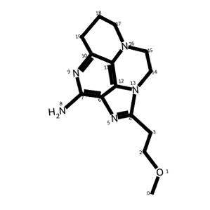 COCCc1nc2c(N)nc3c4c2n1CCN4CCC3